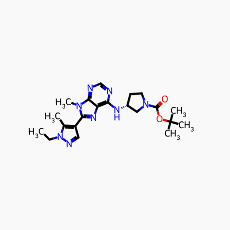 CCn1ncc(-c2nc3c(N[C@@H]4CCN(C(=O)OC(C)(C)C)C4)ncnc3n2C)c1C